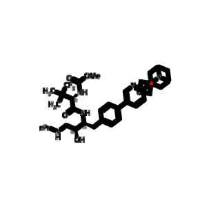 CCCNC[C@H](O)[C@H](Cc1ccc(-c2ccc(N3CC4CC(C3)N4C3COC3)nc2)cc1)NC(=O)[C@@H](NC(=O)OC)C(C)(C)C(F)(F)F